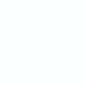 CC(C)(C1CCC(O)CC1)C1CCC(C(C)(C2CCC(O)CC2)C2CCC(O)CC2)CC1